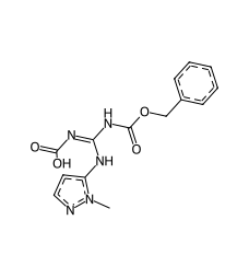 Cn1nccc1N/C(=N\C(=O)O)NC(=O)OCc1ccccc1